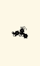 O=C1OCc2cc(NC(=O)C(O)(Cc3ccccc3)c3ccc([N+](=O)[O-])cc3)ccc21